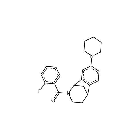 O=C(c1ccccc1F)N1CCC2CC1c1cc(N3CCCCC3)ccc12